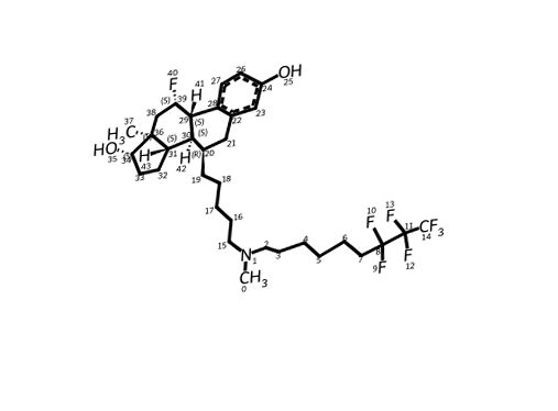 CN(CCCCCCC(F)(F)C(F)(F)C(F)(F)F)CCCCC[C@@H]1Cc2cc(O)ccc2[C@@H]2[C@@H]1[C@@H]1CC[C@H](O)[C@@]1(C)C[C@@H]2F